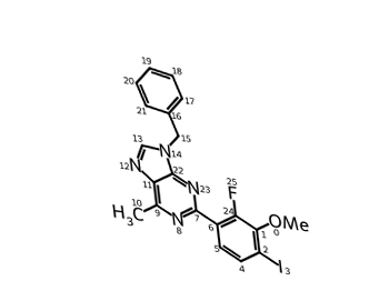 COc1c(I)ccc(-c2nc(C)c3ncn(Cc4ccccc4)c3n2)c1F